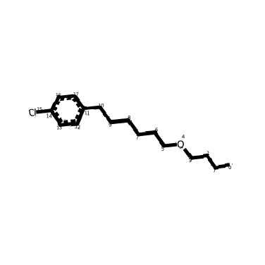 [CH2]CCCOCCCCCCc1ccc(Cl)cc1